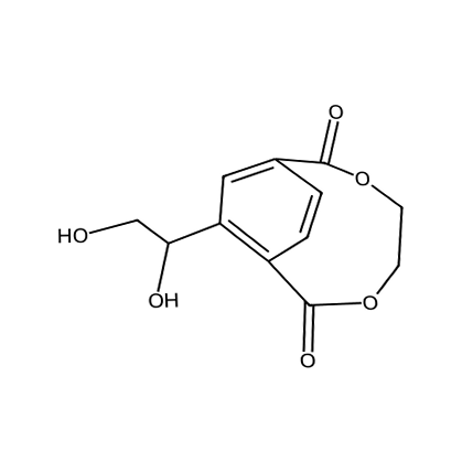 O=C1OCCOC(=O)c2ccc1cc2C(O)CO